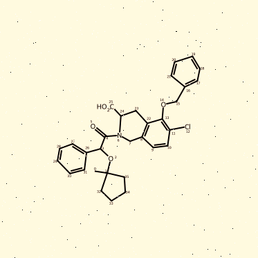 CC1(OC(C(=O)N2Cc3ccc(Cl)c(OCc4ccccc4)c3CC2C(=O)O)c2ccccc2)CCCC1